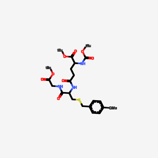 COc1ccc(CSCC(NC(=O)CCC(NC(=O)OC(C)(C)C)C(=O)OC(C)(C)C)C(=O)NCC(=O)OC(C)(C)C)cc1